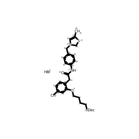 Br.CCCCCCCCCCCCCCOc1cc(Cl)ccc1CC(=O)Nc1ccc(CN2C=C(C)SC2)cc1